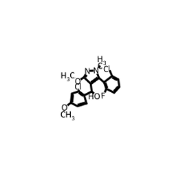 COc1ccc(C(O)c2c(OC)nn(C)c2-c2c(F)cccc2Cl)c(Cl)c1